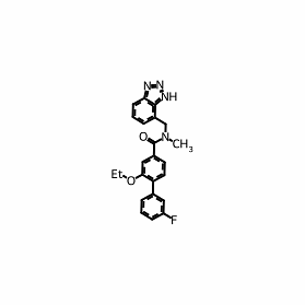 CCOc1cc(C(=O)N(C)Cc2cccc3nn[nH]c23)ccc1-c1cccc(F)c1